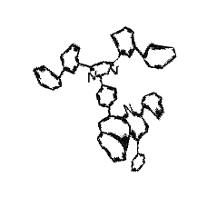 c1ccc(-c2cccc(-c3cc(-c4cccc(-c5ccccc5)c4)nc(-c4ccc(-c5cc6ccccc6c6c(-c7ccccc7)cc(-c7ccccc7)nc56)cc4)n3)c2)cc1